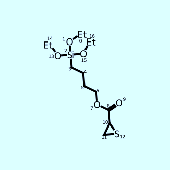 CCO[Si](CCCCOC(=O)C1CS1)(OCC)OCC